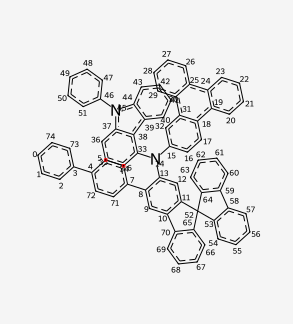 c1ccc(-c2ccc(-c3cc4c(cc3N(c3ccc5c6ccccc6c6ccccc6c5c3)c3cccc5c3c3ccccc3n5-c3ccccc3)C3(c5ccccc5-c5ccccc53)c3ccccc3-4)cc2)cc1